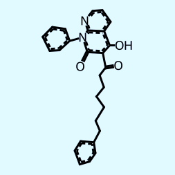 O=C(CCCCCCc1ccccc1)c1c(O)c2cccnc2n(-c2ccccc2)c1=O